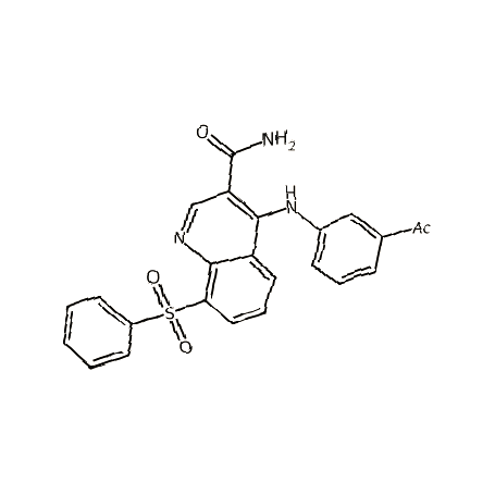 CC(=O)c1cccc(Nc2c(C(N)=O)cnc3c(S(=O)(=O)c4ccccc4)cccc23)c1